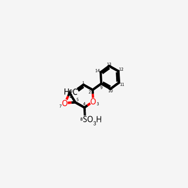 C=CC(OC(C1CO1)S(=O)(=O)O)c1ccccc1